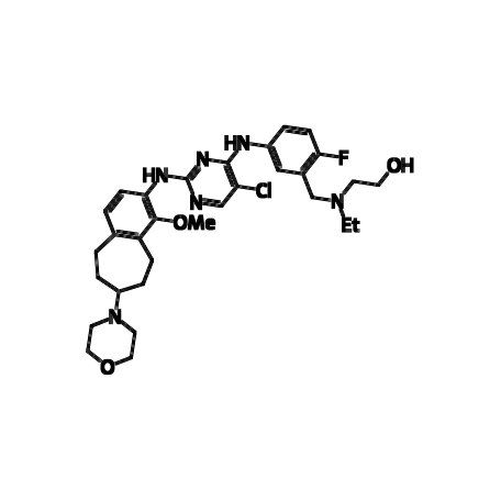 CCN(CCO)Cc1cc(Nc2nc(Nc3ccc4c(c3OC)CCC(N3CCOCC3)CC4)ncc2Cl)ccc1F